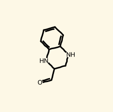 O=CC1CNc2ccccc2N1